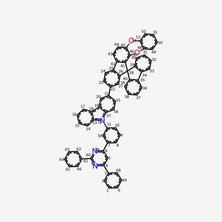 c1ccc(-c2cc(-c3cccc(-n4c5ccccc5c5cc(-c6ccc7c(c6)C6(c8ccccc8-c8ccccc86)c6c-7ccc7c6Oc6ccccc6O7)ccc54)c3)nc(-c3ccccc3)n2)cc1